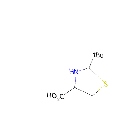 CC(C)(C)C1NC(C(=O)O)CS1